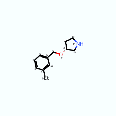 CCc1cccc(CO[C@@H]2CCNC2)c1